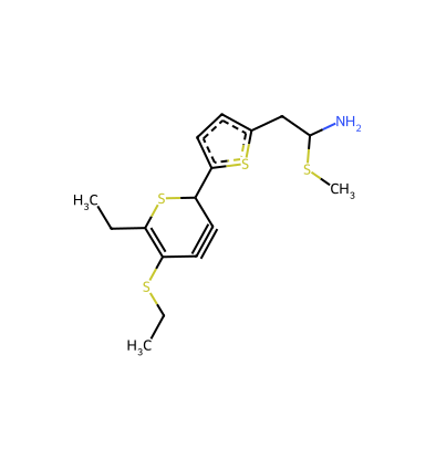 CCSC1=C(CC)SC(c2ccc(CC(N)SC)s2)C#C1